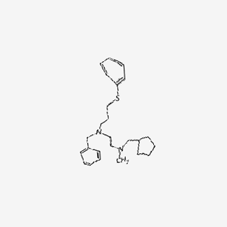 CN(CCN(CCCSc1ccccc1)Cc1ccccc1)CC1CCCC1